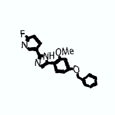 COc1cc(OCc2ccccc2)ccc1-c1cnc(-c2ccc(F)nc2)[nH]1